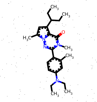 CCC(CC)c1cc(C)n2nc(-c3ccc(N(CC)CC)cc3C)n(C)c(=O)c12